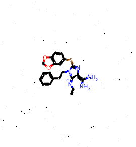 C=C/N=C1\C(=C(N)N)N=C(Sc2ccc3c(c2)OCO3)N1CCc1ccccc1